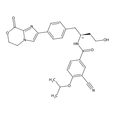 CC(C)Oc1ccc(C(=O)N[C@H](CCO)Cc2ccc(-c3cn4c(n3)C(=O)OCC4)cc2)cc1C#N